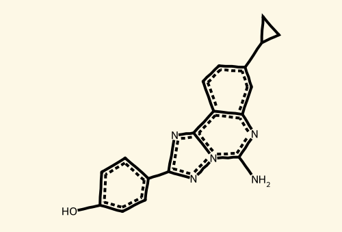 Nc1nc2cc(C3CC3)ccc2c2nc(-c3ccc(O)cc3)nn12